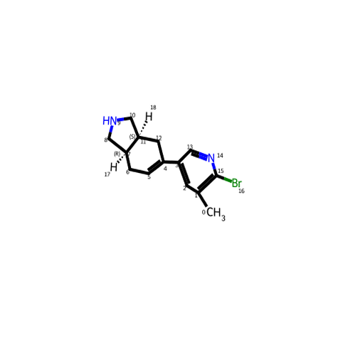 Cc1cc(C2=CC[C@H]3CNC[C@H]3C2)cnc1Br